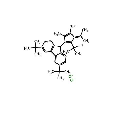 CC(C)=C1[C]([Zr+2])=C(C)C(C2c3ccc(C(C)(C)C)cc3-c3cc(C(C)(C)C)ccc32)=C1C(C)(C)C.[Cl-].[Cl-]